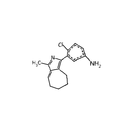 CC1=NC(c2cc(N)ccc2Cl)=C2CCCCC=C12